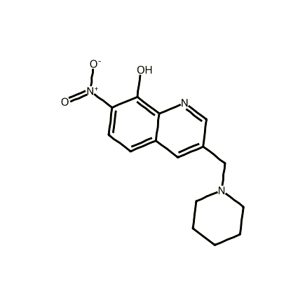 O=[N+]([O-])c1ccc2cc(CN3CCCCC3)cnc2c1O